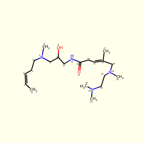 C/C=C\CCN(C)CC(O)CNC(=O)C/C=C(\C)CN(C)CCN(C)C